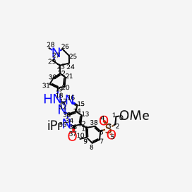 COCCS(=O)(=O)c1ccc(C)c(-c2cc3cnc(Nc4ccc(C5CCCN(C)C5)cc4)nc3n(C(C)C)c2=O)c1